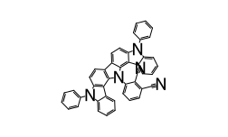 N#Cc1cccc(-n2c3c(ccc4c3c3ccccc3n4-c3ccccc3)c3ccc4c(c5ccccc5n4-c4ccccc4)c32)c1C#N